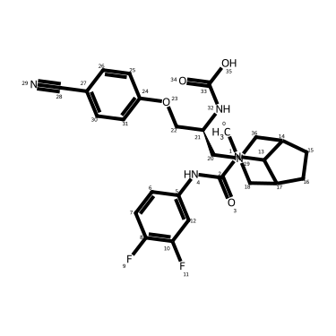 CN(C(=O)Nc1ccc(F)c(F)c1)C1C2CCC1CN(C[C@@H](COc1ccc(C#N)cc1)NC(=O)O)C2